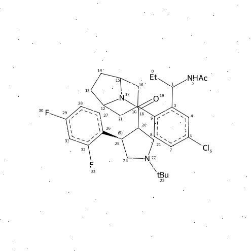 CCC(NC(C)=O)c1cc(Cl)ccc1C1CC2CCC(C1)N2C(=O)C1CN(C(C)(C)C)C[C@H]1c1ccc(F)cc1F